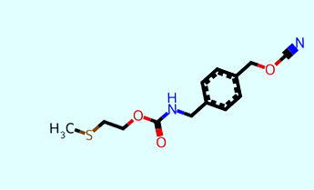 CSCCOC(=O)NCc1ccc(COC#N)cc1